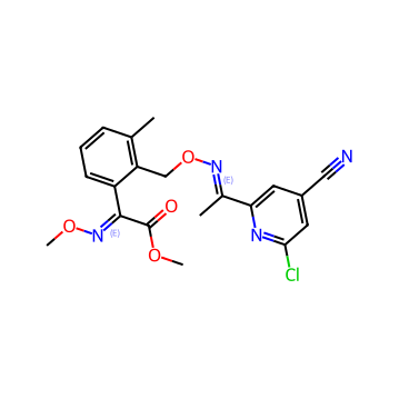 CO/N=C(/C(=O)OC)c1cccc(C)c1CO/N=C(\C)c1cc(C#N)cc(Cl)n1